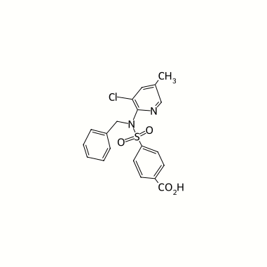 Cc1cnc(N(Cc2ccccc2)S(=O)(=O)c2ccc(C(=O)O)cc2)c(Cl)c1